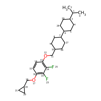 CC(C)C1CCC(C2CCC(COc3ccc(OCC4CC4)c(F)c3F)CC2)CC1